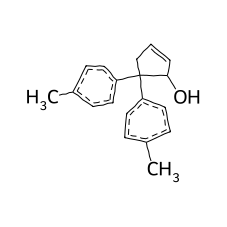 Cc1ccc(C2(c3ccc(C)cc3)CC=CC2O)cc1